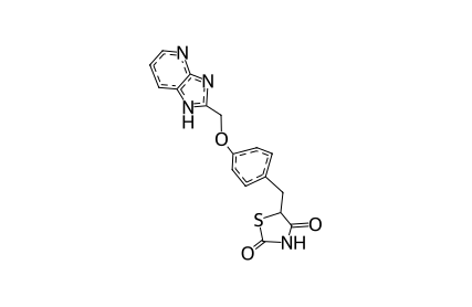 O=C1NC(=O)C(Cc2ccc(OCc3nc4ncccc4[nH]3)cc2)S1